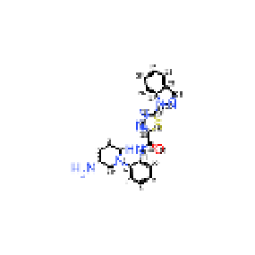 N[C@@H]1CCCN(c2ccccc2NC(=O)c2nnc(-n3ncc4ccccc43)s2)C1